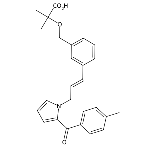 Cc1ccc(C(=O)c2cccn2CC=Cc2cccc(COC(C)(C)C(=O)O)c2)cc1